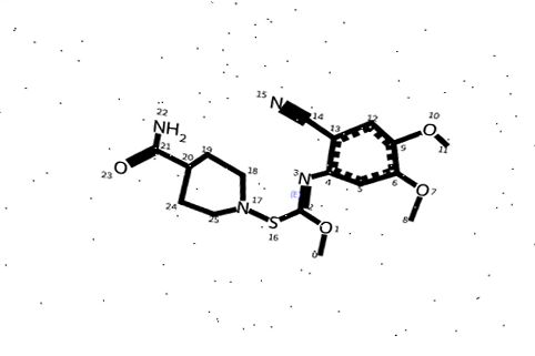 CO/C(=N\c1cc(OC)c(OC)cc1C#N)SN1CCC(C(N)=O)CC1